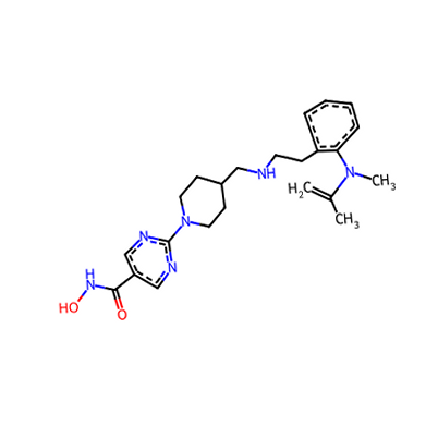 C=C(C)N(C)c1ccccc1CCNCC1CCN(c2ncc(C(=O)NO)cn2)CC1